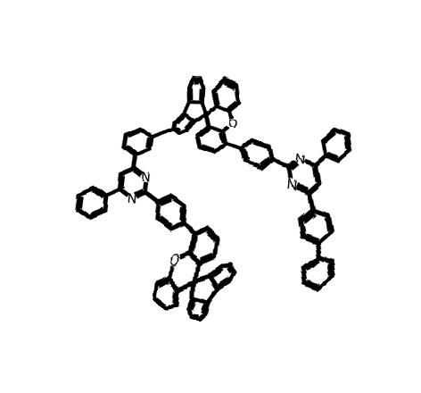 c1ccc(-c2ccc(-c3cc(-c4ccccc4)nc(-c4ccc(-c5cccc6c5Oc5ccccc5C65c6ccccc6-c6cc(-c7cccc(-c8cc(-c9ccccc9)nc(-c9ccc(-c%10cccc%11c%10Oc%10ccccc%10C%11%10c%11ccccc%11-c%11ccccc%11%10)cc9)n8)c7)ccc65)cc4)n3)cc2)cc1